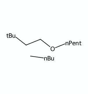 CCCCC.CCCCCOCCC(C)(C)C